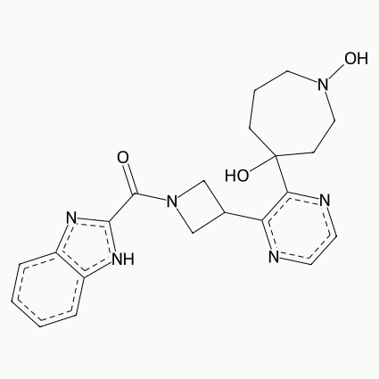 O=C(c1nc2ccccc2[nH]1)N1CC(c2nccnc2C2(O)CCCN(O)CC2)C1